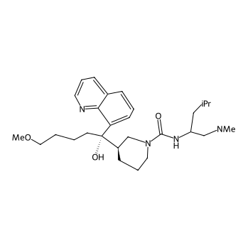 CNCC(CC(C)C)NC(=O)N1CCC[C@@H]([C@@](O)(CCCCOC)c2cccc3cccnc23)C1